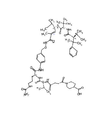 C/C(=C\[C@@H](NC(=O)[C@@H](NC(=O)[C@@H](N(C)C)C(C)(C)c1ccccc1)C(C)(C)C)C(C)C)C(=O)NOCc1ccc(NC(=O)[C@H](CCCNC(N)=O)NC(=O)[C@@H](NC(=O)CCC(=O)N2CCC(C(=O)O)CC2)C(C)C)cc1